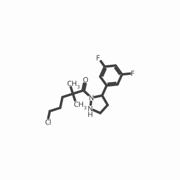 CC(C)(CCCCl)C(=O)N1NCCC1c1cc(F)cc(F)c1